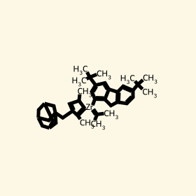 CC1=[C]([Zr](=[C](C)C)[c]2cc(C(C)(C)C)cc3c2Cc2ccc(C(C)(C)C)cc2-3)C(C)C=C1CC12CC3CC(CC(C3)C1)C2